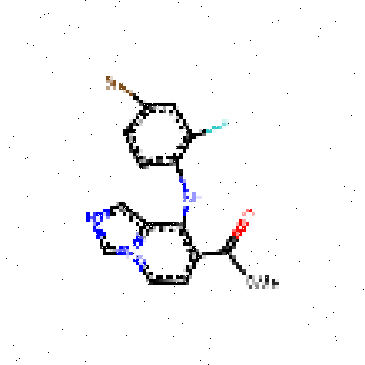 COC(=O)c1ccn2cncc2c1Nc1ccc(Br)cc1F